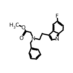 COC(=O)CN(CCC1=CN=C2CC=C(F)C=C12)Cc1ccccc1